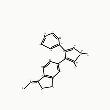 C/N=C1\CCc2cc(-c3c(-c4ccncc4)nn(C)c3C)ccc21